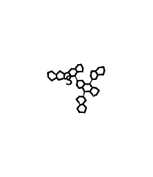 c1ccc2cc(-c3c4ccccc4c(-c4ccc5ccccc5c4)c4cc(-c5c6ccccc6cc6c5sc5cc7ccccc7cc56)ccc34)ccc2c1